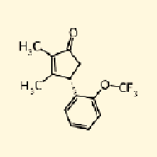 CC1=C(C)[C@@H](c2ccccc2OC(F)(F)F)CC1=O